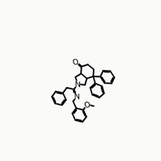 COc1ccccc1CN=C(Cc1ccccc1)N1CC2C(=O)CCC(c3ccccc3)(c3ccccc3)C2C1